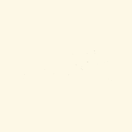 CCCOCCOC(=O)NC(C(=O)O)C(C)CC